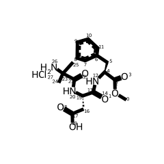 COC(=O)[C@H](Cc1ccccc1)NC(=O)[C@H](CC(=O)O)NC(=O)C(C)(C)N.Cl